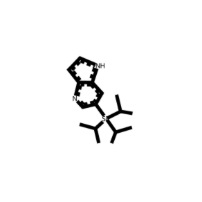 CC(C)[Si](c1cnc2cc[nH]c2c1)(C(C)C)C(C)C